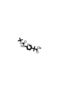 COC(=O)C(C)(C)c1ccc(NC(=O)OC(C)(C)C)nc1